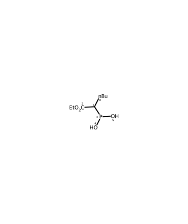 CCCCC(C(=O)OCC)P(O)O